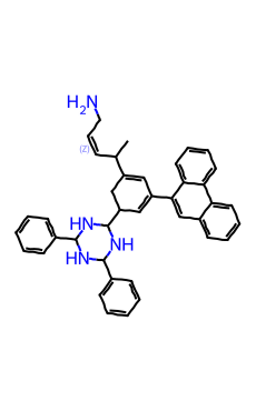 CC(/C=C\CN)C1=CC(c2cc3ccccc3c3ccccc23)=CC(C2NC(c3ccccc3)NC(c3ccccc3)N2)C1